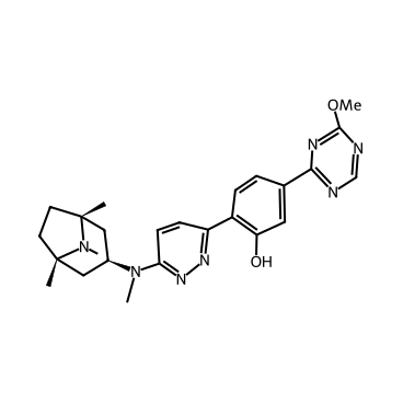 COc1ncnc(-c2ccc(-c3ccc(N(C)[C@H]4C[C@]5(C)CC[C@](C)(C4)N5C)nn3)c(O)c2)n1